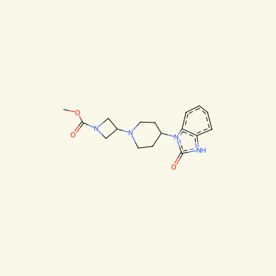 COC(=O)N1CC(N2CCC(n3c(=O)[nH]c4ccccc43)CC2)C1